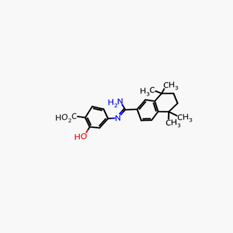 CC1(C)CCC(C)(C)c2cc(C(N)=Nc3ccc(C(=O)O)c(O)c3)ccc21